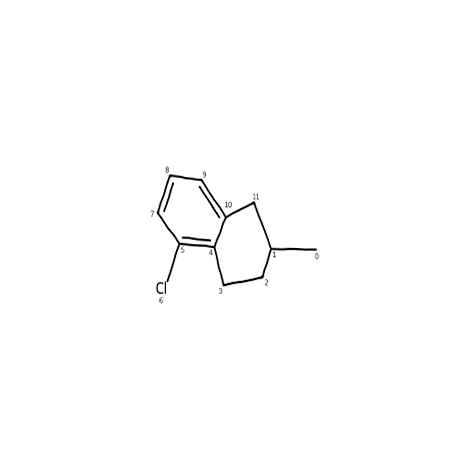 CC1CCc2c(Cl)cccc2C1